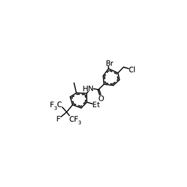 CCc1cc(C(F)(C(F)(F)F)C(F)(F)F)cc(C)c1NC(=O)c1ccc(CCl)c(Br)c1